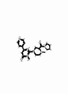 CN1CCN(c2nc(-c3ccncc3)cc(=O)n2C)CC1C(=O)N1CCCC1